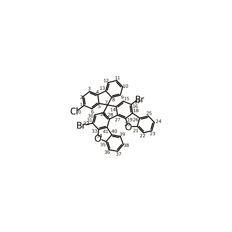 Clc1ccc2c(c1)C1(c3ccccc3-2)c2cc(Br)c3c(oc4ccccc43)c2-c2c1cc(Br)c1oc3ccccc3c21